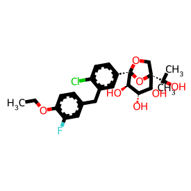 CCOc1ccc(Cc2cc([C@]34OC[C@](C(C)(C)O)(O3)[C@@H](O)[C@H](O)[C@H]4O)ccc2Cl)cc1F